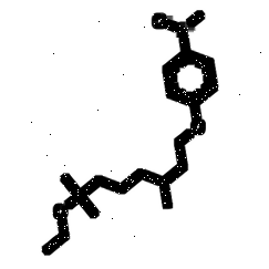 CCOC(C)(C)CCCC(C)CCOc1ccc([S+](C)[O-])cc1